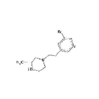 C[C@@H]1CN(CCc2cncc(Br)c2)CCN1